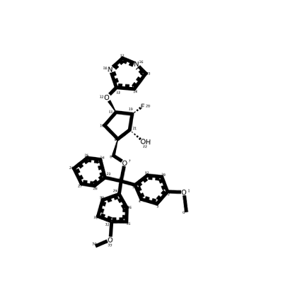 COc1ccc(C(OC[C@H]2C[C@@H](Oc3ccncn3)[C@H](F)[C@@H]2O)(c2ccccc2)c2ccc(OC)cc2)cc1